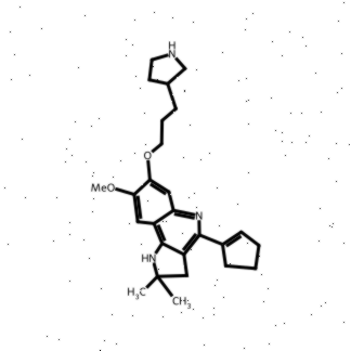 COc1cc2c3c(c(C4=CCCC4)nc2cc1OCCCC1CCNC1)CC(C)(C)N3